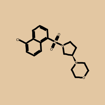 O=S(=O)(c1cccc2c(Cl)cccc12)N1CC[C@@H](N2CCOCC2)C1